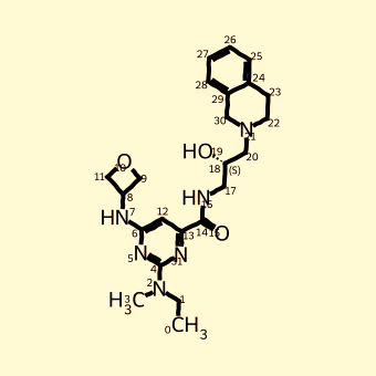 CCN(C)c1nc(NC2COC2)cc(C(=O)NC[C@H](O)CN2CCc3ccccc3C2)n1